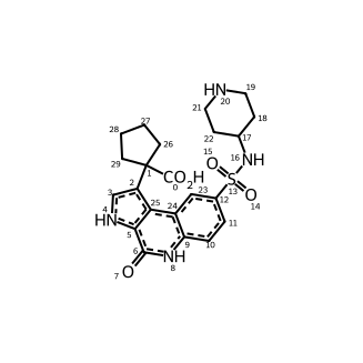 O=C(O)C1(c2c[nH]c3c(=O)[nH]c4ccc(S(=O)(=O)NC5CCNCC5)cc4c23)CCCC1